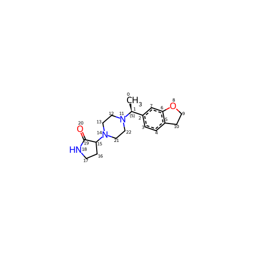 C[C@@H](c1ccc2c(c1)OCC2)N1CCN(C2CCNC2=O)CC1